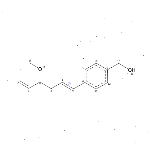 C=CC(C/C=C/c1ccc(CO)cc1)OC